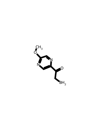 BCC(=O)c1cnc(OC)cn1